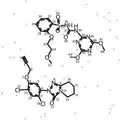 C#CCOc1cc(-n2nc3n(c2=O)CCCC3)c(Cl)cc1Cl.COCCOc1ccccc1S(=O)(=O)NC(=O)Nc1nc(OC)nc(OC)n1